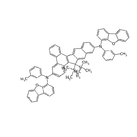 Cc1cccc(N(c2ccc3cc4c(cc3c2)C([Si](C)(C)C)([Si](C)(C)C)c2c-4c3ccccc3c3cc(N(c4cccc(C)c4)c4cccc5c4oc4ccccc45)ccc23)c2cccc3c2oc2ccccc23)c1